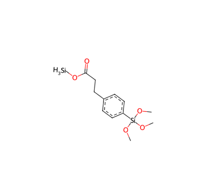 CO[Si](OC)(OC)c1ccc(CCC(=O)O[SiH3])cc1